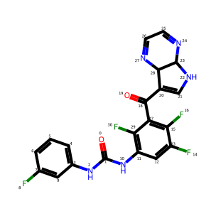 O=C(Nc1cccc(F)c1)Nc1cc(F)c(F)c(C(=O)C2=CNC3N=CC=NC23)c1F